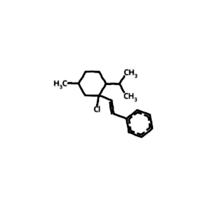 CC1CCC(C(C)C)C(Cl)(C=Cc2ccccc2)C1